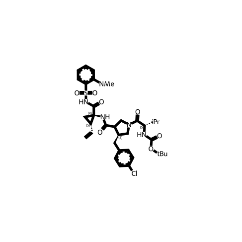 C=C[C@@H]1C[C@]1(NC(=O)C1CN(C(=O)[C@@H](NC(=O)OC(C)(C)C)C(C)C)C[C@H]1Cc1ccc(Cl)cc1)C(=O)NS(=O)(=O)c1ccccc1NC